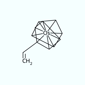 C=C[C]12[CH]3[CH]4[CH]5[CH]1[Os]45321678[CH]2[CH]1[CH]6[CH]7[CH]28